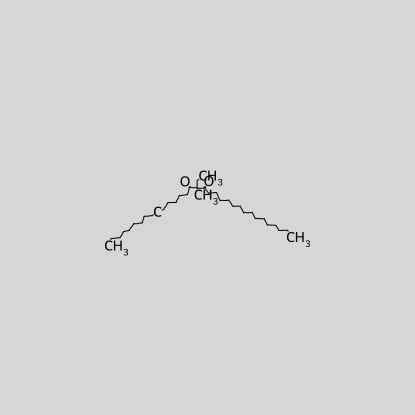 CCCCCCCCCCCCCCCC(=O)C(C)(CC)C(=O)CCCCCCCCCCCCCCC